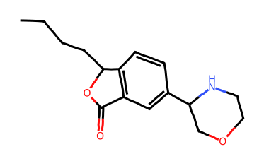 CCCCC1OC(=O)c2cc(C3COCCN3)ccc21